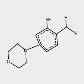 FC(F)c1ccc(N2CCOCC2)cc1S